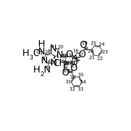 CNc1nc(N)nc2c1ncn2[C@@H]1O[C@](F)(COC(=O)c2ccccc2)[C@@H](OC(=O)c2ccccc2)[C@]1(F)Cl